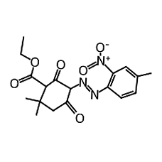 CCOC(=O)C1C(=O)C(/N=N/c2ccc(C)cc2[N+](=O)[O-])C(=O)CC1(C)C